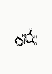 O=c1cn[nH]c(=O)[nH]1.c1cncnc1